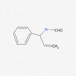 C=CC([N]C=O)c1ccccc1